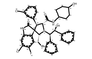 CC(C)(C)C[C@H]1N([C@H](c2ccccc2)[C@@H](O)c2ccccc2)[C@@H](C(=O)NC2CCC(O)CC2)[C@H](c2cccc(Cl)c2)[C@@]12C(=O)Nc1cc(Cl)c(F)cc12